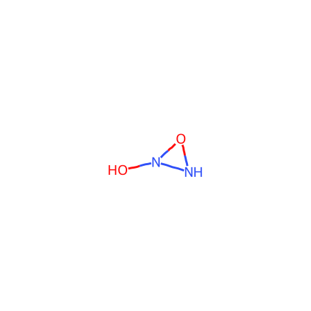 On1[nH]o1